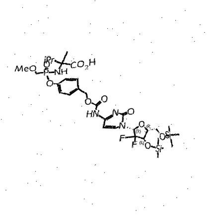 COCP(=O)(NC(C)(C(=O)O)C(C)C)Oc1ccc(COC(=O)Nc2ccn([C@@H]3O[C@H](CO[Si](C)(C)C)[C@@H](O[Si](C)(C)C)C3(F)F)c(=O)n2)cc1